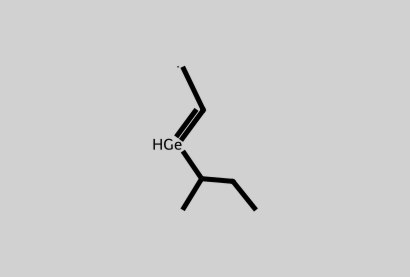 [CH2][CH]=[GeH][CH](C)CC